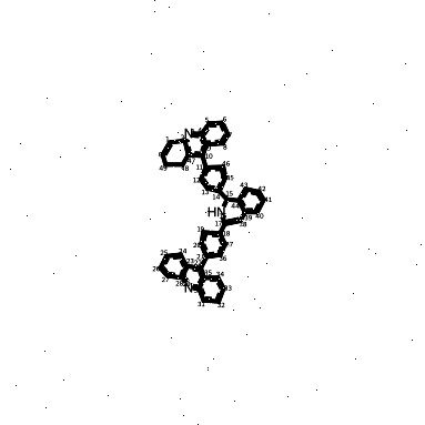 C1=Cc2nc3ccccc3c(-c3ccc(C4NC(c5ccc(-c6c7ccccc7nc7ccccc67)cc5)=Cc5ccccc54)cc3)c2CC1